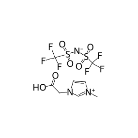 C[n+]1ccn(CC(=O)O)c1.O=S(=O)([N-]S(=O)(=O)C(F)(F)F)C(F)(F)F